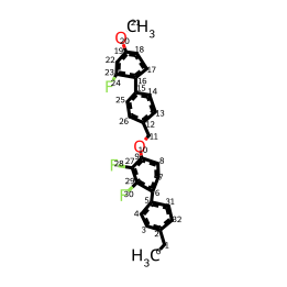 CCc1ccc(-c2ccc(OCc3ccc(-c4ccc(OC)cc4F)cc3)c(F)c2F)cc1